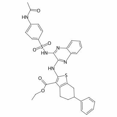 CCOC(=O)c1c(Nc2nc3ccccc3nc2NS(=O)(=O)c2ccc(NC(C)=O)cc2)sc2c1CCC(c1ccccc1)C2